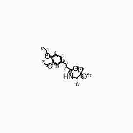 CCOc1ccc(/C=C/C(=O)N[C@@H](C)C(=O)OC)cc1OC